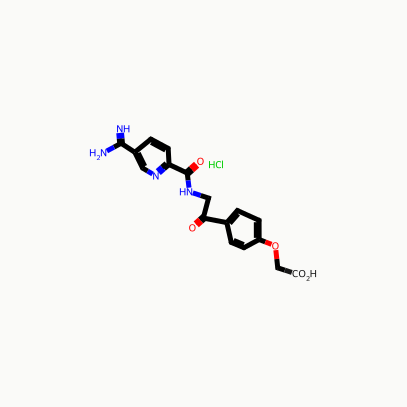 Cl.N=C(N)c1ccc(C(=O)NCC(=O)c2ccc(OCC(=O)O)cc2)nc1